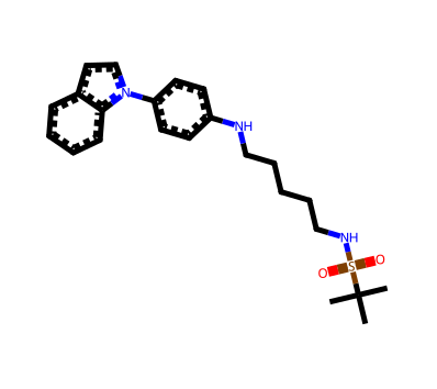 CC(C)(C)S(=O)(=O)NCCCCCNc1ccc(-n2ccc3ccccc32)cc1